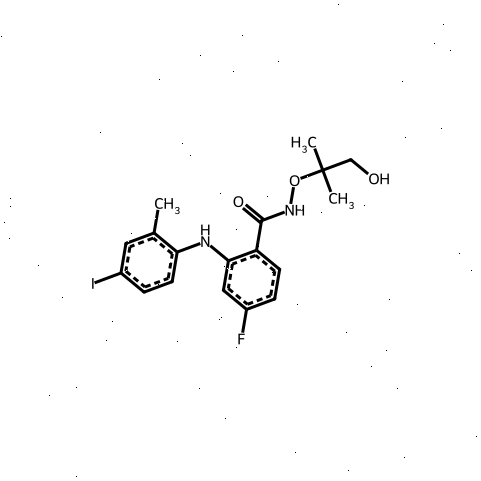 Cc1cc(I)ccc1Nc1cc(F)ccc1C(=O)NOC(C)(C)CO